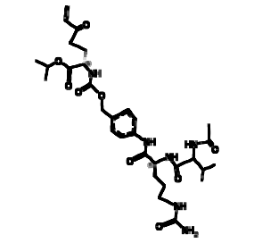 C=CC(=O)CC[C@H](NC(=O)OCc1ccc(NC(=O)[C@H](CCCNC(N)=O)NC(=O)C(NC(C)=O)C(C)C)cc1)C(=O)OC(C)C